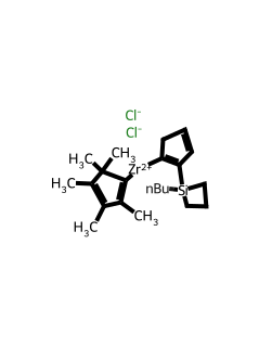 CCCC[Si]1(C2=[C]([Zr+2][C]3=C(C)C(C)=C(C)C3(C)C)CC=C2)CCC1.[Cl-].[Cl-]